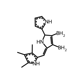 BC1=C(B)C(c2ccc[nH]2)N/C1=C\c1[nH]c(C)c(C)c1C